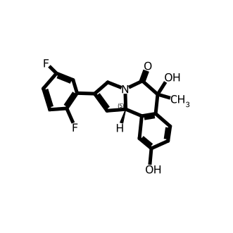 CC1(O)C(=O)N2CC(c3cc(F)ccc3F)=C[C@H]2c2cc(O)ccc21